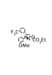 CCOC(=O)Oc1cc(-c2cccc(C(F)(F)F)c2)n(-c2cccc(OC)c2)n1